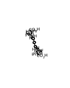 CC(C)[C@H](NC(=O)O)C(=O)N1CC(F)(F)C[C@H]1c1nc2cc(-c3ccc(-c4ccc5[nH]c([C@@H]6CC(F)(F)CN6C(=O)[C@@H](NC(=O)O)C(C)C)nc5c4)cc3)ccc2[nH]1